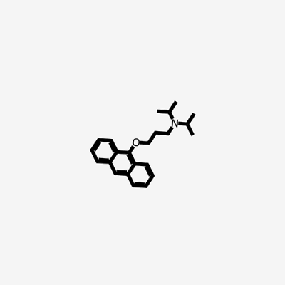 CC(C)N(CCCOc1c2ccccc2cc2ccccc12)C(C)C